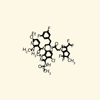 C=Nc1nc(OCC)ccc1C(=O)N(CC(Cc1cc(F)cc(F)c1)NC(=O)Cn1nc(C(F)F)c2c1C(F)(F)C(C)C2)c1ccc(Cl)c2c(N[S+](C)[O-])nn(C)c12